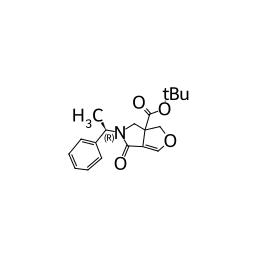 C[C@H](c1ccccc1)N1CC2(C(=O)OC(C)(C)C)COC=C2C1=O